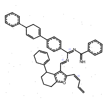 C=C/C=C\c1oc2c(c1/C=N/C(=N\C(=N)c1ccccc1)c1ccc(C3=CCC(c4ccccc4)C=C3)cc1)C(C1=CC=CCC1)CCC2